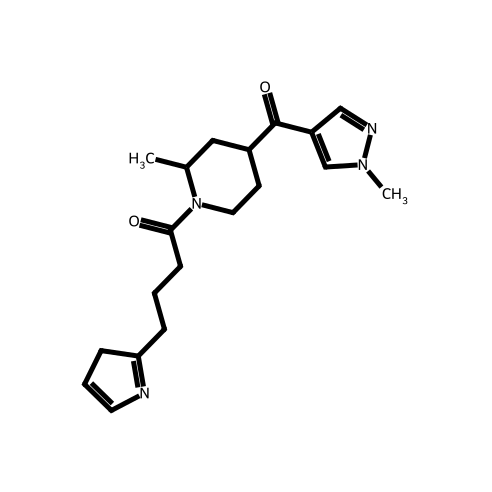 CC1CC(C(=O)c2cnn(C)c2)CCN1C(=O)CCCC1=NC=CC1